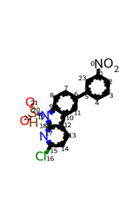 O=[N+]([O-])c1cccc(-c2ccc3c(c2)c2ccc(Cl)nc2n3[SH](=O)=O)c1